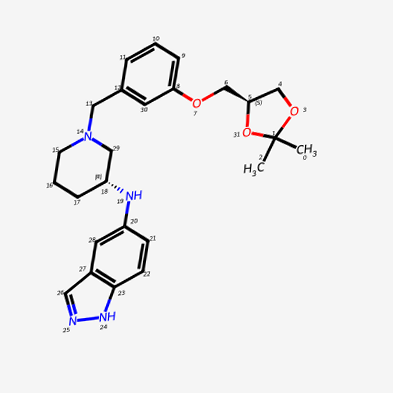 CC1(C)OC[C@H](COc2cccc(CN3CCC[C@@H](Nc4ccc5[nH]ncc5c4)C3)c2)O1